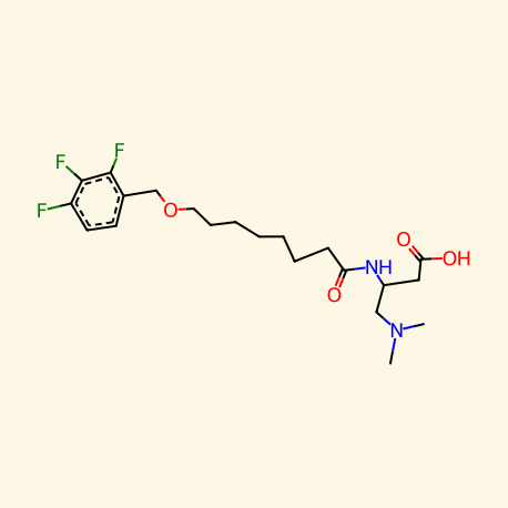 CN(C)CC(CC(=O)O)NC(=O)CCCCCCCOCc1ccc(F)c(F)c1F